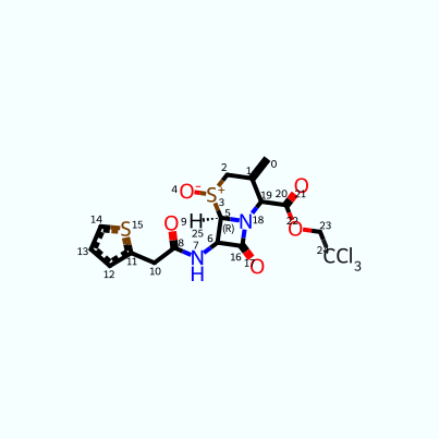 C=C1C[S+]([O-])[C@@H]2C(NC(=O)Cc3cccs3)C(=O)N2C1C(=O)OCC(Cl)(Cl)Cl